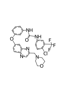 O=C(Nc1cccc(Oc2ccc3ncc(CN4CCOCC4)nc3c2)c1)Nc1ccc(Cl)c(C(F)(F)F)c1